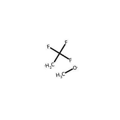 C[O].[CH2]C(F)(F)F